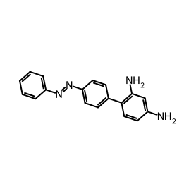 Nc1ccc(-c2ccc(/N=N/c3ccccc3)cc2)c(N)c1